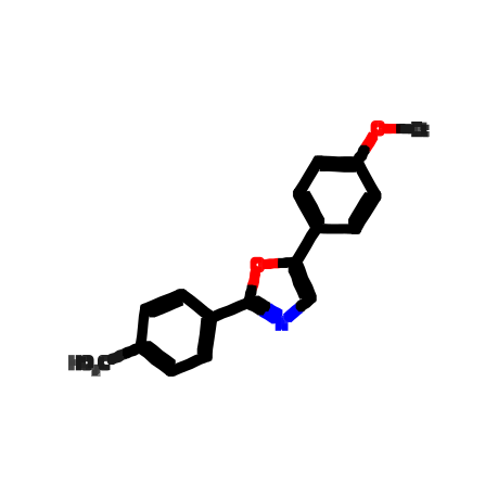 CCOc1ccc(-c2cnc(-c3ccc(C(=O)O)cc3)o2)cc1